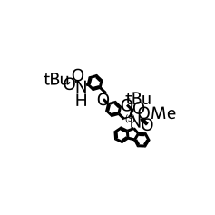 COC(=O)N(C1c2ccccc2-c2ccccc21)[C@@H](Cc1ccc(OCc2cccc(NC(=O)OC(C)(C)C)c2)cc1)C(=O)OC(C)(C)C